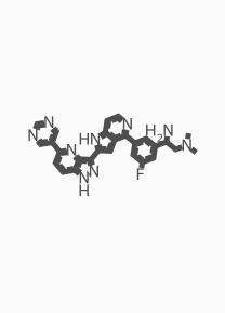 CN(C)CC(N)c1cc(F)cc(-c2nccc3[nH]c(-c4n[nH]c5ccc(-c6cncnc6)nc45)cc23)c1